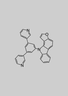 c1cncc(-c2cc(-c3cccnc3)cc(-n3c4ccccc4c4ccc5occc5c43)c2)c1